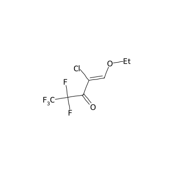 CCO/C=C(\Cl)C(=O)C(F)(F)C(F)(F)F